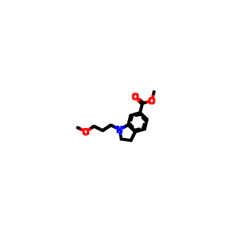 COCCCN1CCc2ccc(C(=O)OC)cc21